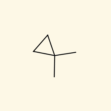 CC1(C)CC1